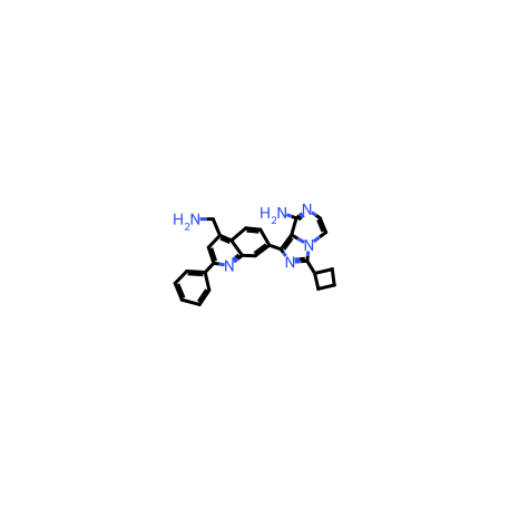 NCc1cc(-c2ccccc2)nc2cc(-c3nc(C4CCC4)n4ccnc(N)c34)ccc12